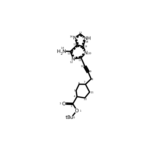 CC(C)(C)OC(=O)C1CCC(CC#Cc2nc(N)c3nc[nH]c3n2)CC1